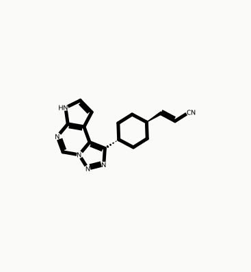 N#CC=C[C@H]1CC[C@H](c2nnn3cnc4[nH]ccc4c23)CC1